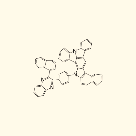 c1ccc2c(-c3nc4ccccc4nc3-c3ccc(-n4c5ccc6ccccc6c5c5cc6c7ccccc7n7c8ccccc8c(c54)c67)cc3)cccc2c1